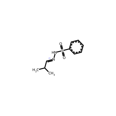 CC(C)/C=N/NS(=O)(=O)c1ccccc1